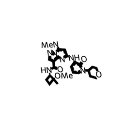 CNc1cc(Nc2cccn(C3CCOCC3)c2=O)nc2c(C(=O)N[C@@H]3CC[C@@]3(C)OC)cnn12